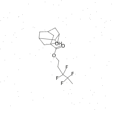 CC(F)(F)C(F)(F)CCOC(=O)C12CC3CC(C1)C(O)C(C3)C2